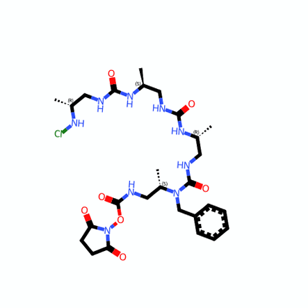 C[C@H](CNC(=O)N[C@@H](C)CNC(=O)N[C@H](C)CNC(=O)N(Cc1ccccc1)[C@@H](C)CNC(=O)ON1C(=O)CCC1=O)NCl